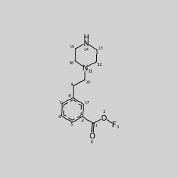 O=C(OF)c1cccc(CCN2CCNCC2)c1